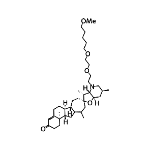 COCCCCCOCCOCCN1C[C@@H](C)C[C@H]2O[C@]3(CC[C@@H]4C(=C(C)C3)C[C@H]3[C@H]4CCC4=CC(=O)CC[C@@]43C)[C@H](C)[C@@H]21